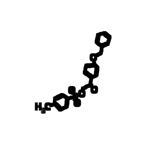 Cc1ccc(S(=O)(=O)OCC(=O)c2ccc(OCc3ccccc3)cc2)cc1